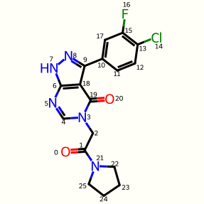 O=C(Cn1cnc2[nH]nc(-c3ccc(Cl)c(F)c3)c2c1=O)N1CCCC1